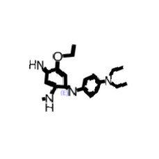 CCOC1=C/C(=N\c2ccc(N(CC)CC)cc2)C(NC)=CC1=N